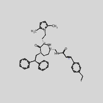 Cc1ccc(C)n1CC[C@@H]1N[C@H](CNC(=O)/C=C/c2ccc(CI)cc2)CCN(CC(c2ccccc2)c2ccccc2)C1=O